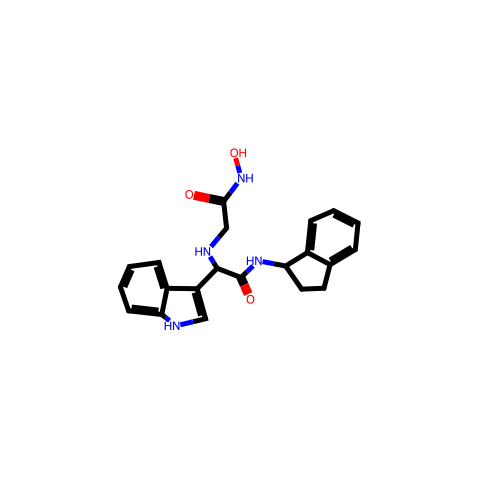 O=C(CNC(C(=O)NC1CCc2ccccc21)c1c[nH]c2ccccc12)NO